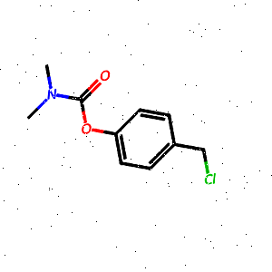 CN(C)C(=O)Oc1ccc(CCl)cc1